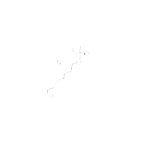 CCCCCCCCO[PH](=O)O.[Ni]